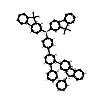 CC1(C)c2ccccc2-c2ccc(N(c3ccc(-c4ccc(-c5ccccc5)c(-c5ccc6c7ccccc7n(-c7ccccc7)c6c5)c4)cc3)c3ccc4c(c3)C(C)(C)c3ccccc3-4)cc21